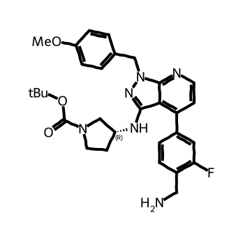 COc1ccc(Cn2nc(N[C@@H]3CCN(C(=O)OC(C)(C)C)C3)c3c(-c4ccc(CN)c(F)c4)ccnc32)cc1